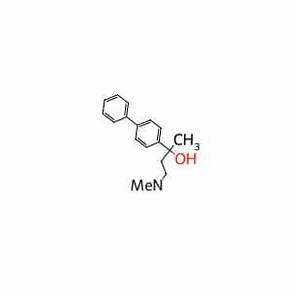 CNCCC(C)(O)c1ccc(-c2ccccc2)cc1